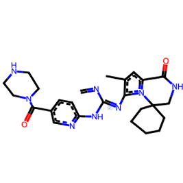 C=N/C(=N\c1c(C)cc2n1C1(CCCCC1)CNC2=O)Nc1ccc(C(=O)N2CCNCC2)cn1